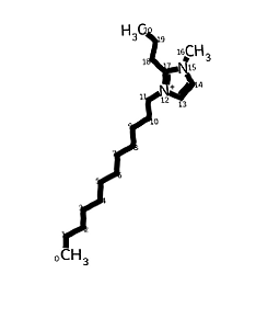 CCCCCCCCCCCC[n+]1ccn(C)c1CCC